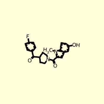 Cn1c(C(=O)N2CCC(C(=O)c3ccc(F)cc3)CC2)cc2cc(O)ccc21